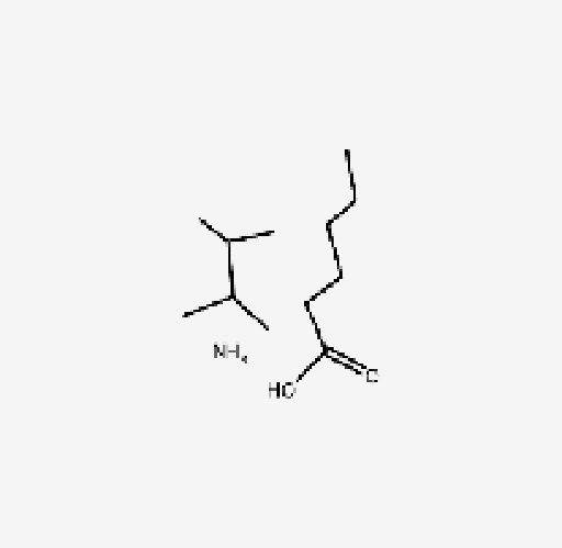 CC(C)C(C)C.CCCCCC(=O)O.N